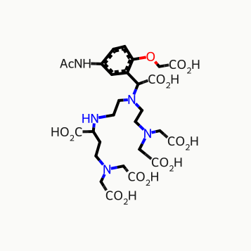 CC(=O)Nc1ccc(OCC(=O)O)c(C(C(=O)O)N(CCNC(CCN(CC(=O)O)CC(=O)O)C(=O)O)CCN(CC(=O)O)CC(=O)O)c1